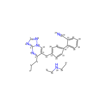 CCCc1nc2ncnn2cc1Cc1ccc(-c2ccccc2C#N)cc1.CCNCC